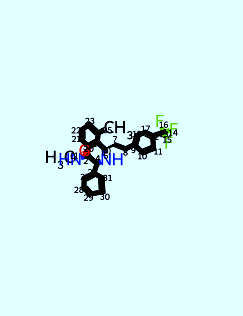 CNC(=O)C(N[C@H](CCc1ccc(C(F)(F)F)cc1)c1ccccc1C)c1ccccc1